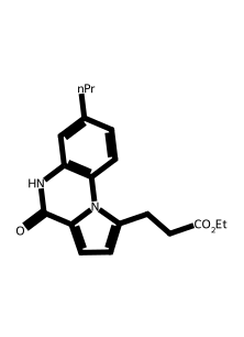 CCCc1ccc2c(c1)[nH]c(=O)c1ccc(CCC(=O)OCC)n12